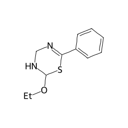 CCOC1NCN=C(c2ccccc2)S1